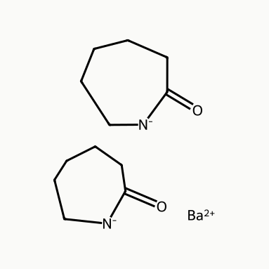 O=C1CCCCC[N-]1.O=C1CCCCC[N-]1.[Ba+2]